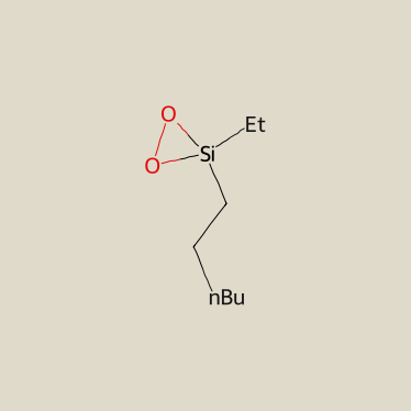 CCCCCC[Si]1(CC)OO1